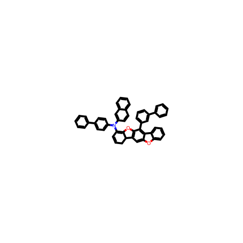 C1=CC(N(c2ccc(-c3ccccc3)cc2)c2ccc3ccccc3c2)=C2Oc3c(cc4oc5ccccc5c4c3-c3cccc(-c4ccccc4)c3)C2C1